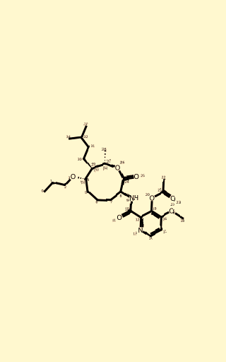 CCCO[C@H]1CCCC(NC(=O)c2nccc(OC)c2OC(C)=O)C(=O)O[C@@H](C)[C@@H]1CCC(C)C